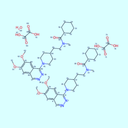 COc1cc2cnnc(N3CCC(CCN(C)C(=O)C4CCCCC4)CC3)c2cc1OC.COc1cc2cnnc(N3CCC(CCN(C)C(=O)C4CCCCC4)CC3)c2cc1OC.O.O=C(O)C(=O)O.O=C(O)C(=O)O